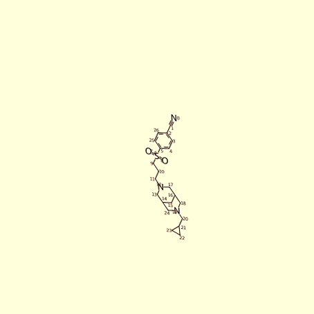 N#Cc1ccc(S(=O)(=O)CCCN2CC3CC(C2)CN(CC2CC2)C3)cc1